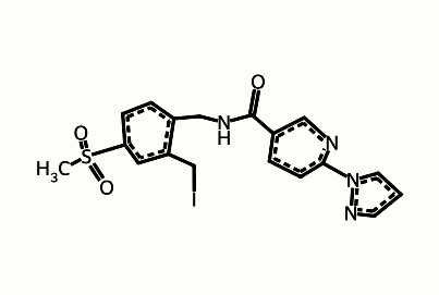 CS(=O)(=O)c1ccc(CNC(=O)c2ccc(-n3cccn3)nc2)c(CI)c1